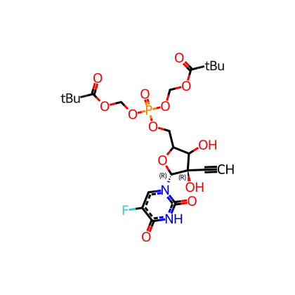 C#C[C@@]1(O)C(O)C(COP(=O)(OCOC(=O)C(C)(C)C)OCOC(=O)C(C)(C)C)O[C@H]1n1cc(F)c(=O)[nH]c1=O